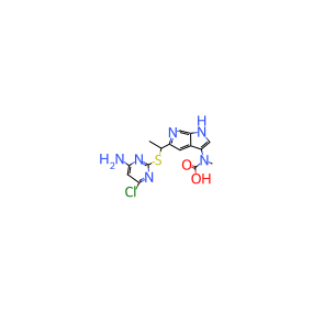 CC(Sc1nc(N)cc(Cl)n1)c1cc2c(N(C)C(=O)O)c[nH]c2cn1